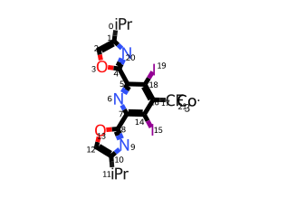 CC(C)c1coc(-c2nc(-c3nc(C(C)C)co3)c(I)c(C(F)(F)F)c2I)n1.[Co]